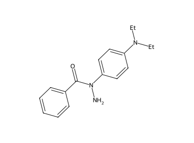 CCN(CC)c1ccc(N(N)C(=O)c2ccccc2)cc1